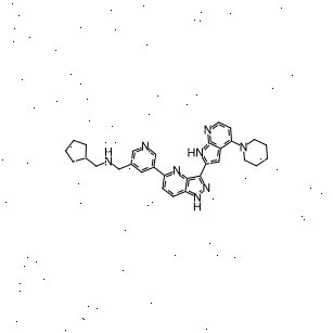 c1cc(N2CCCCC2)c2cc(-c3n[nH]c4ccc(-c5cncc(CNCC6CCCC6)c5)nc34)[nH]c2n1